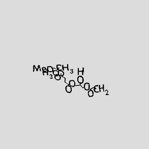 C=CC(=O)OCC(O)COC(=O)CCC(=O)OC(C)(C)COC